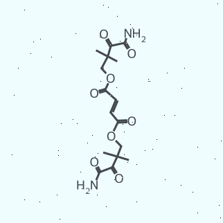 CC(C)(COC(=O)/C=C/C(=O)OCC(C)(C)C(=O)C(N)=O)C(=O)C(N)=O